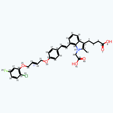 Cc1c(CCCC(=O)O)c2cccc(C=Cc3ccc(OC/C=C/COc4cc(F)ccc4Cl)cc3)c2n1CC(=O)O